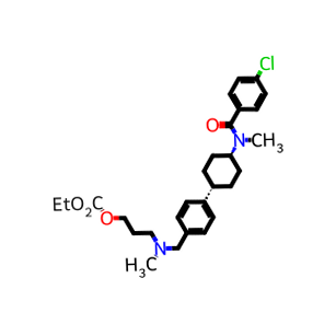 CCOC(=O)OCCCN(C)Cc1ccc([C@H]2CC[C@H](N(C)C(=O)c3ccc(Cl)cc3)CC2)cc1